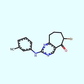 N#Cc1cccc(Nc2ncc3c(n2)CCCC(Br)C3=O)c1